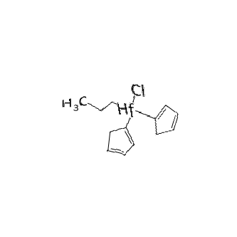 CC[CH2][Hf]([Cl])([C]1=CC=CC1)[C]1=CC=CC1